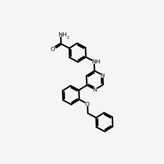 NC(=O)c1ccc(Nc2cc(-c3ccccc3OCc3ccccc3)ncn2)cc1